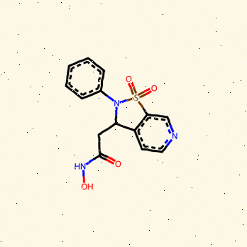 O=C(CC1c2ccncc2S(=O)(=O)N1c1ccccc1)NO